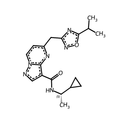 CC(C)c1nc(Cc2ccn3ncc(C(=O)N[C@@H](C)C4CC4)c3n2)no1